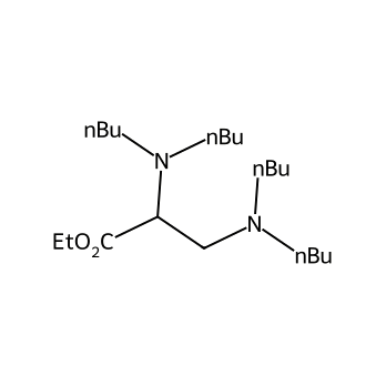 CCCCN(CCCC)CC(C(=O)OCC)N(CCCC)CCCC